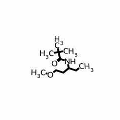 CCC(CCOC)NC(=O)C(C)(C)C